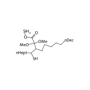 CCCCCCCCCCCCCCCC(C(S)CCCCCCC)C(OC)(OC)C(=O)O[SiH3]